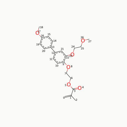 C=C(C)C(=O)OCCOc1ccc(-c2ccc(OC)cc2)cc1OCCOC